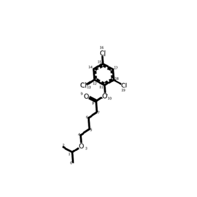 CC(C)OCCCCC(=O)Oc1c(Cl)cc(Cl)cc1Cl